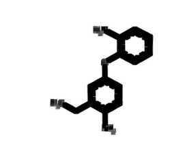 CCc1cc(Oc2ccccc2N)ccc1N